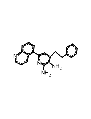 Nc1nc(-c2cccc3ncccc23)cc(CCc2ccccc2)c1N